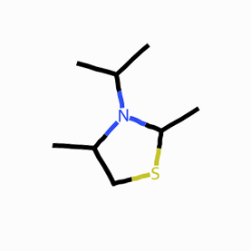 CC(C)N1C(C)CSC1C